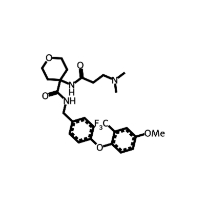 COc1ccc(Oc2ccc(CNC(=O)C3(NC(=O)CCN(C)C)CCOCC3)cc2)c(C(F)(F)F)c1